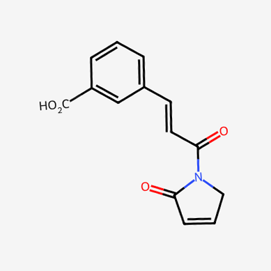 O=C(O)c1cccc(C=CC(=O)N2CC=CC2=O)c1